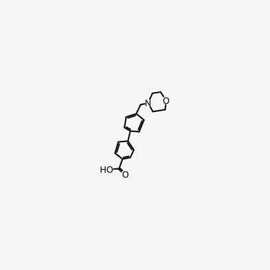 O=C(O)c1ccc(-c2ccc(CN3CCOCC3)cc2)cc1